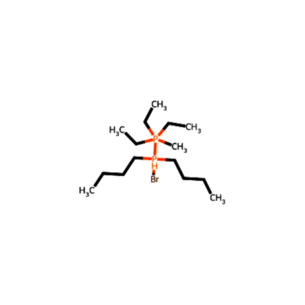 CCCC[PH](Br)(CCCC)P(C)(CC)(CC)CC